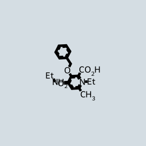 CCN.CCn1c(C)cc(=O)c(OCc2ccccc2)c1C(=O)O